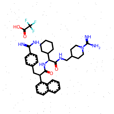 N=C(N)c1ccc(CC(C(=O)N[C@H](C(=O)NCC2CCN(C(=N)N)CC2)C2CCCCC2)c2cccc3ccccc23)cc1.O=C(O)C(F)(F)F